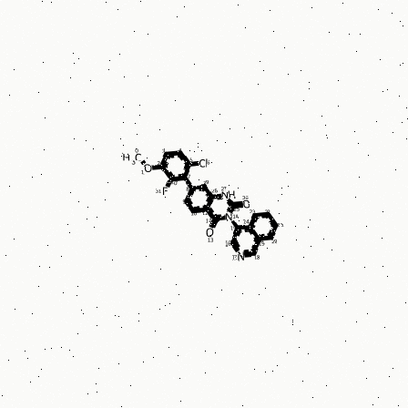 COc1ccc(Cl)c(-c2ccc3c(=O)n(-c4cncc5ccccc45)c(=O)[nH]c3c2)c1F